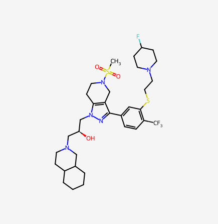 CS(=O)(=O)N1CCc2c(c(-c3ccc(C(F)(F)F)c(SCCN4CCC(F)CC4)c3)nn2C[C@@H](O)CN2CCC3CCCCC3C2)C1